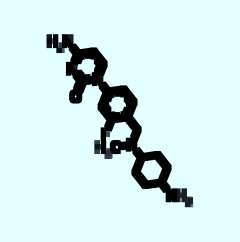 CN(Cc1ccc(-n2ccc(N)nc2=O)cc1F)C1CCC(N)CC1